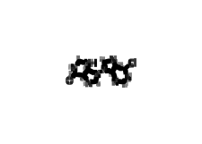 O=c1nc[nH]c2c1ncn2-n1cnc2c(Cl)ncnc21